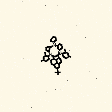 Cc1ccc(N2c3cccc(c3)N(c3ccccc3)c3cccc(c3)N(c3ccc(C)cc3C)c3cc2c2ccc4cc(C(C)(C)C)cc5ccc3c2c45)c(C)c1